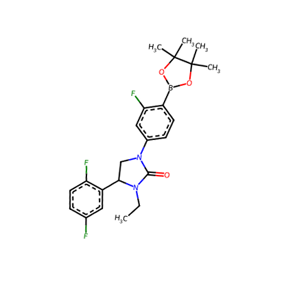 CCN1C(=O)N(c2ccc(B3OC(C)(C)C(C)(C)O3)c(F)c2)CC1c1cc(F)ccc1F